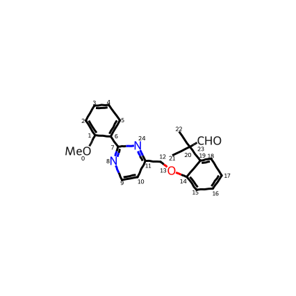 COc1ccccc1-c1nccc(COc2ccccc2C(C)(C)C=O)n1